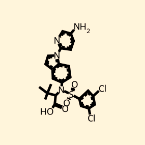 CC(C)(C)C(C(=O)O)N(c1ccc2c(ccn2-c2ccc(N)cn2)c1)S(=O)(=O)c1cc(Cl)cc(Cl)c1